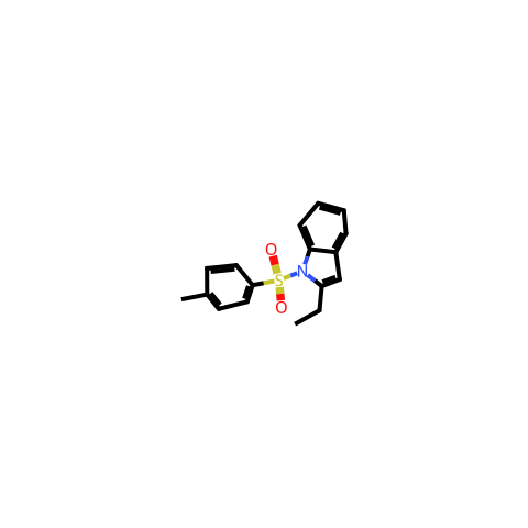 CCc1cc2ccccc2n1S(=O)(=O)c1ccc(C)cc1